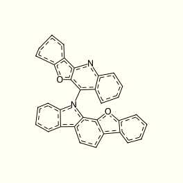 c1ccc2c(-n3c4ccccc4c4ccc5c6ccccc6oc5c43)c3oc4ccccc4c3nc2c1